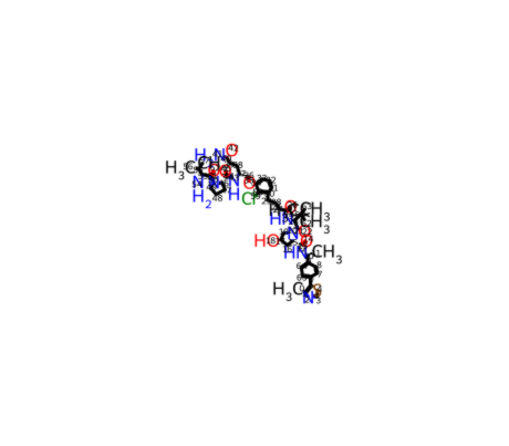 Cc1ncsc1-c1ccc([C@H](C)NC(=O)[C@@H]2C[C@@H](O)CN2C(=O)[C@@H](NC(=O)CCCc2cccc(OC[C@H](CCC(N)=O)NC(=O)[C@@H]3CCCN3C(=O)[C@@H](N)C(C)C)c2Cl)C(C)(C)C)cc1